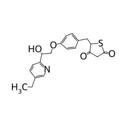 CCc1ccc([C@H](O)COc2ccc(CC3SC(=O)CC3=O)cc2)nc1